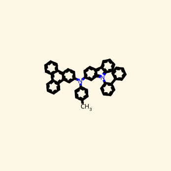 Cc1ccc(N(c2ccc3c4ccccc4c4ccccc4c3c2)c2ccc3c4ccccc4n(-c4ccccc4-c4ccccc4)c3c2)cc1